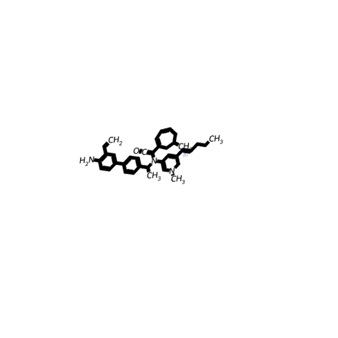 C=Cc1cc(-c2ccc(C(C)N(C(=C=O)C3=CC=CCC(C)C3)C3=CN(C)CC(/C=C/CCC)=C3)cc2)ccc1N